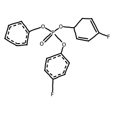 O=P(Oc1ccccc1)(Oc1ccc(F)cc1)OC1C=CC(F)=CC1